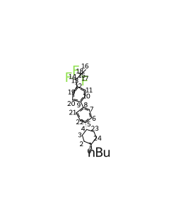 CCCC[C@H]1CC[C@H](c2ccc(-c3ccc(C(F)C(C)(F)F)cc3)cc2)CC1